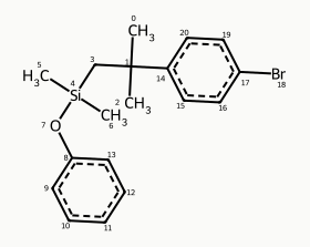 CC(C)(C[Si](C)(C)Oc1ccccc1)c1ccc(Br)cc1